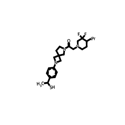 CC(S)c1ccc(N2CC3(CCN(C(=O)CN4CCC(C(C)C)C(F)(F)C4)C3)C2)cc1